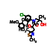 COc1cccc([C@H]2O[C@H](Cc3nc(C)sc3C(=O)O)C(=O)N(CC(C)(C)CO)c3ccc(Cl)cc32)c1OC